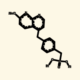 CCOP(=O)(Cc1ccc(Cc2ccnc3nc(OC)ccc23)cc1)OCC